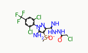 C[S+]([O-])c1c(C(=N)NNC(=O)CCl)nn(-c2c(Cl)cc(C(F)(F)F)cc2Cl)c1N